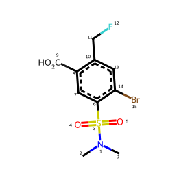 CN(C)S(=O)(=O)c1cc(C(=O)O)c(CF)cc1Br